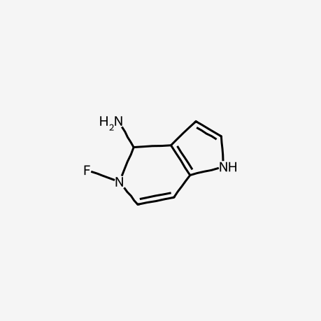 NC1c2cc[nH]c2C=CN1F